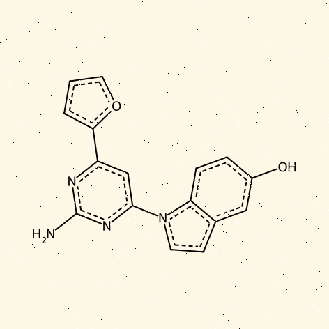 Nc1nc(-c2ccco2)cc(-n2ccc3cc(O)ccc32)n1